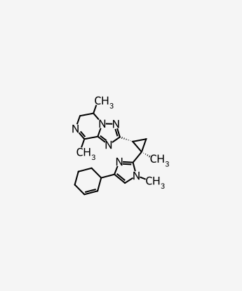 CC1=NCC(C)n2nc([C@@H]3C[C@@]3(C)c3nc(C4C=CCCC4)cn3C)nc21